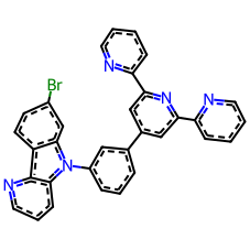 Brc1ccc2c3ncccc3n(-c3cccc(-c4cc(-c5ccccn5)nc(-c5ccccn5)c4)c3)c2c1